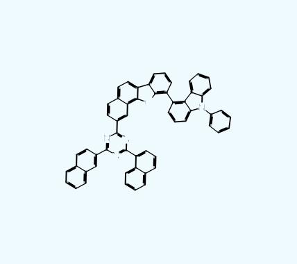 c1ccc(-n2c3ccccc3c3c(-c4cccc5c4oc4c6cc(-c7nc(-c8ccc9ccccc9c8)nc(-c8cccc9ccccc89)n7)ccc6ccc54)cccc32)cc1